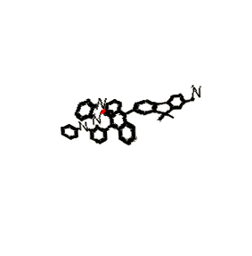 CCc1nc2cccc3c2n1-c1c(-c2c4ccccc4c(-c4ccc5c(c4)C(C)(C)c4cc(/C=N\C)ccc4-5)c4ccccc24)cccc1N3c1ccccc1